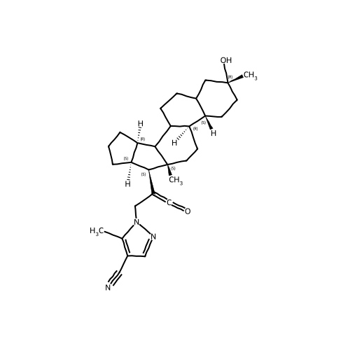 Cc1c(C#N)cnn1CC(=C=O)[C@H]1[C@H]2CCC[C@H]2C2C3CCC4C[C@](C)(O)CC[C@@H]4[C@H]3CC[C@@]21C